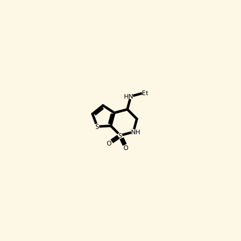 CCNC1CNS(=O)(=O)c2sccc21